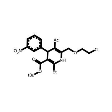 CCC1=C(C(=O)OC(C)(C)C)C(c2cccc([N+](=O)[O-])c2)C(C(C)=O)=C(COCCCl)N1